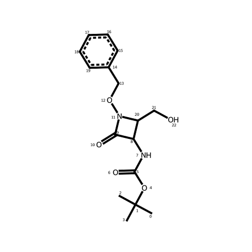 CC(C)(C)OC(=O)NC1C(=O)N(OCc2ccccc2)C1CO